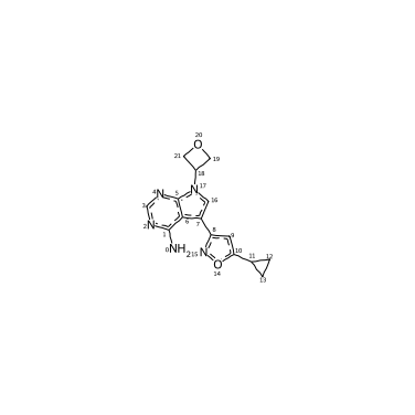 Nc1ncnc2c1c(-c1cc(C3CC3)on1)cn2C1COC1